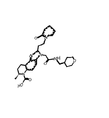 C[C@H]1CCc2c(ccc3c2nc(CCn2ccccc2=O)n3CC(=O)NCC2CCOCC2)N1C(=O)O